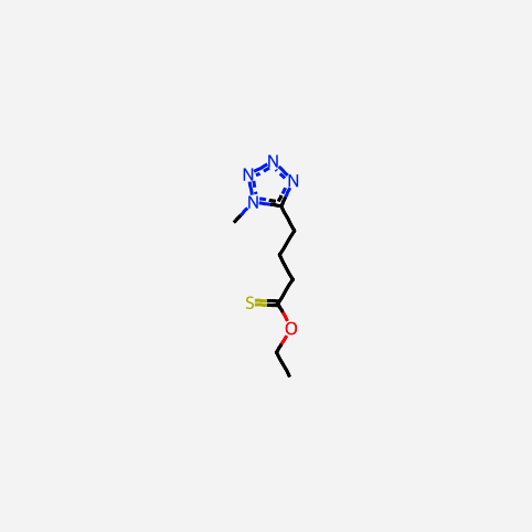 CCOC(=S)CCCc1nnnn1C